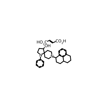 O=C(O)/C=C/C(=O)O.OC1CCN(c2ccccc2)C12CCN(C1CCC3CCCc4cccc1c43)CC2